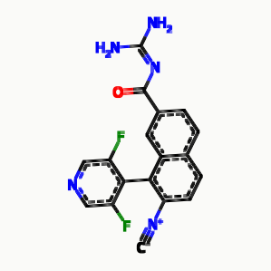 [C-]#[N+]c1ccc2ccc(C(=O)N=C(N)N)cc2c1-c1c(F)cncc1F